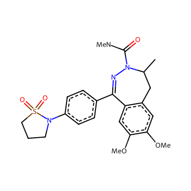 CNC(=O)N1N=C(c2ccc(N3CCCS3(=O)=O)cc2)c2cc(OC)c(OC)cc2CC1C